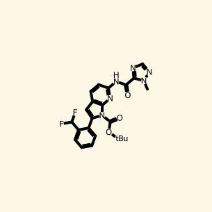 Cn1ncnc1C(=O)Nc1ccc2cc(-c3ccccc3C(F)F)n(C(=O)OC(C)(C)C)c2n1